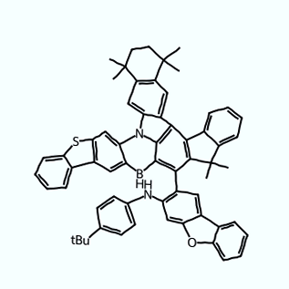 CC(C)(C)c1ccc(Nc2cc3oc4ccccc4c3cc2-c2c3c(c4c5cc6c(cc5n5c4c2Bc2cc4c(cc2-5)sc2ccccc24)C(C)(C)CCC6(C)C)-c2ccccc2C3(C)C)cc1